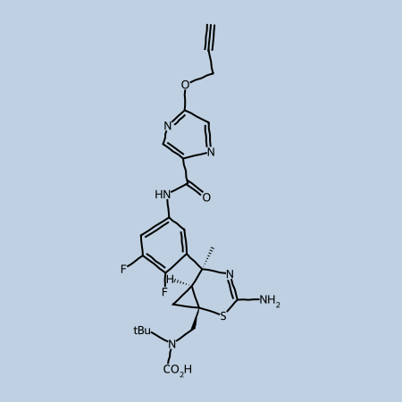 C#CCOc1cnc(C(=O)Nc2cc(F)c(F)c([C@@]3(C)N=C(N)S[C@]4(CN(C(=O)O)C(C)(C)C)C[C@H]43)c2)cn1